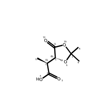 C[C@H](C(=O)O)[C@H]1OC(C)(C)OC1=O